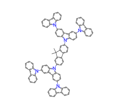 CC1(C)c2cc(-n3c4ccc(-n5c6ccccc6c6ccccc65)cc4c4cc(-n5c6ccccc6c6ccccc65)ccc43)ccc2-c2ccc(-n3c4ccc(-n5c6ccccc6c6ccccc65)cc4c4cc(-n5c6ccccc6c6ccccc65)ccc43)cc21